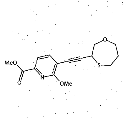 COC(=O)c1ccc(C#CC2COCCCS2)c(OC)n1